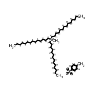 CCCCCCCCCCCCCC[N+](C)(CCCCCCCCCCCCCC)CCCCCCCCCCCCCC.Cc1ccc(S(=O)(=O)[O-])cc1